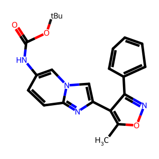 Cc1onc(-c2ccccc2)c1-c1cn2cc(NC(=O)OC(C)(C)C)ccc2n1